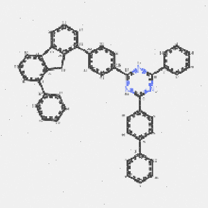 c1ccc(-c2ccc(-c3nc(-c4ccccc4)nc(-c4ccc(-c5cccc6c5Cc5c(-c7ccccc7)cccc5-6)cc4)n3)cc2)cc1